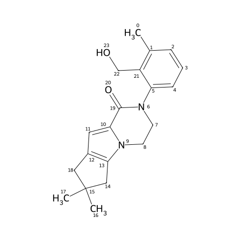 Cc1cccc(N2CCn3c(cc4c3CC(C)(C)C4)C2=O)c1CO